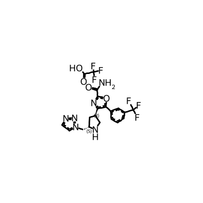 NC(=O)c1nc([C@H]2CN[C@H](Cn3ccnn3)C2)c(-c2cccc(C(F)(F)F)c2)o1.O=C(O)C(F)(F)F